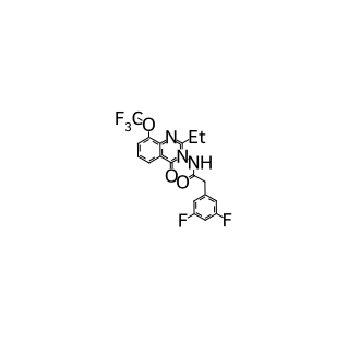 CCc1nc2c(OC(F)(F)F)cccc2c(=O)n1NC(=O)Cc1cc(F)cc(F)c1